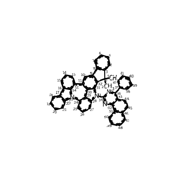 CC1(C)c2ccccc2-c2cc3c4cccc5c6ccccc6n(c6cccc7c6c3c(c21)n7-c1nc(-c2ccccc2)c2ccc3ccccc3c2n1)c45